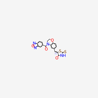 O=C1NC(=S)S/C1=C\c1ccc2c(c1)N(C(=O)c1ccc3nonc3c1)CCO2